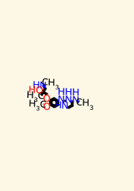 CNCC(C)(O)COc1cc(NC2NCCC(NC)N2)ccc1OC